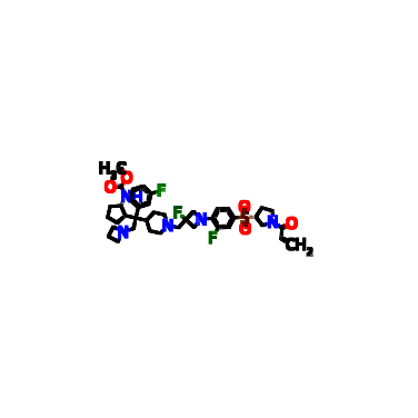 C=CC(=O)N1CC[C@@H](S(=O)(=O)c2ccc(N3CC(F)(CN4CCC([C@@](CN5CCC5)(c5cccc(F)c5)[C@H]5CCC[C@@H]5NC(=O)OC)CC4)C3)c(F)c2)C1